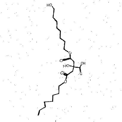 CCCCCCCCOC(=O)CC(O)(CC(=O)OCCCCCCCCO)C(=O)O